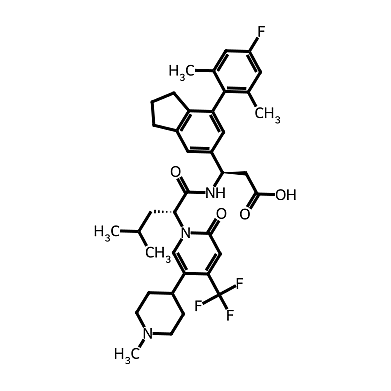 Cc1cc(F)cc(C)c1-c1cc([C@@H](CC(=O)O)NC(=O)[C@@H](CC(C)C)n2cc(C3CCN(C)CC3)c(C(F)(F)F)cc2=O)cc2c1CCC2